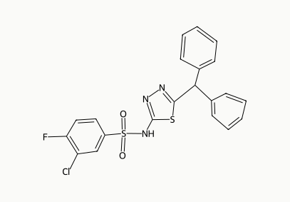 O=S(=O)(Nc1nnc(C(c2ccccc2)c2ccccc2)s1)c1ccc(F)c(Cl)c1